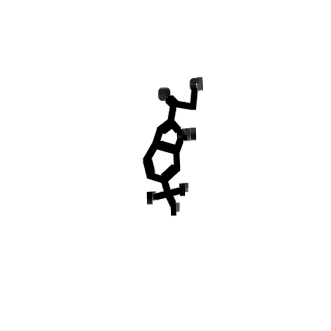 O=C(CCl)c1cc2ccc(C(F)(F)F)cc2[nH]1